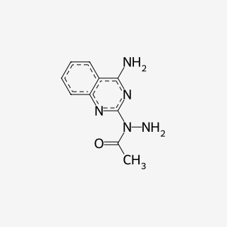 CC(=O)N(N)c1nc(N)c2ccccc2n1